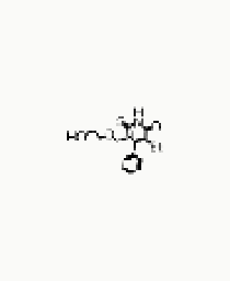 CCc1c(-c2ccccc2)n(COCCO)c(=S)[nH]c1=O